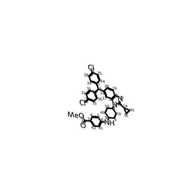 COC(=O)c1ccc(NC2CCC(n3c(C4CC4)nc4ccc(C(c5ccc(Cl)cc5)c5ccc(Cl)cc5)cc43)CC2)cc1